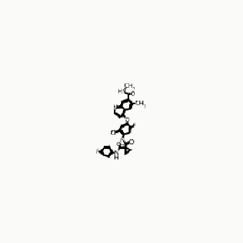 CNC(=O)c1cc2nccc(Oc3cc(Cl)c(NC(=O)C4(C(=O)Nc5ccc(F)cc5)CC4)cc3F)c2cc1C